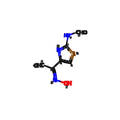 O=[C]/C(=N/O)c1csc(NC=O)n1